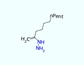 C=C(CCCCCCCCC)NN